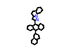 c1ccc2cc(-c3c4ccccc4c(-c4cc5ccc6ccccc6n5n4)c4ccccc34)ccc2c1